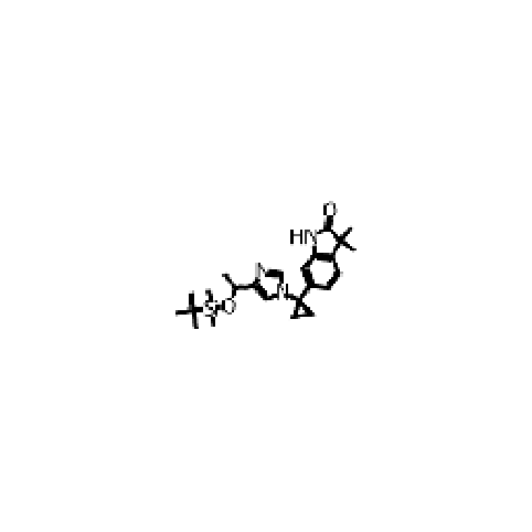 CC(O[Si](C)(C)C(C)(C)C)c1cn(C2(c3ccc4c(c3)NC(=O)C4(C)C)CC2)cn1